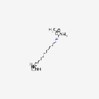 C1=NCCN1.CCCCCCCCCCCCCC/C=C/C(N)OC(C)=O